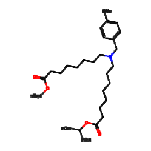 CCCCCCCCC(CCCCCCCC)OC(=O)CCCCCCCN(CCCCCCCC(=O)OCCCCCCC)Cc1ccc(OC)cc1